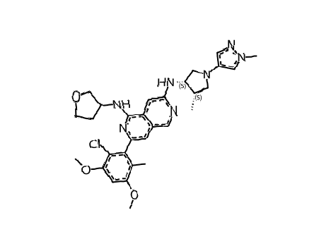 COc1cc(OC)c(Cl)c(-c2cc3cnc(N[C@@H]4CN(c5cnn(C)c5)C[C@@H]4C)cc3c(NC3CCOC3)n2)c1C